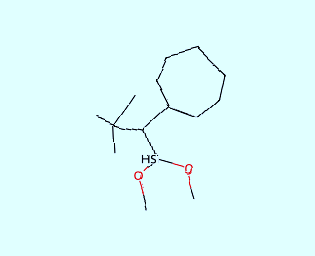 CO[SiH](OC)C(C1CCCCCC1)C(C)(C)C